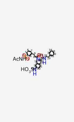 CC(=O)NS(=O)(=O)c1cccc(CCC(=O)N2Cc3cc(NS(=O)(=O)O)ccc3C[C@H]2C(=O)NCCc2ccccc2)c1